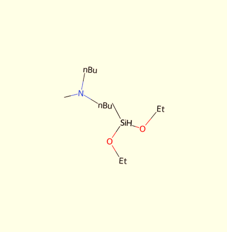 CCCCN(C)CCCC.CCO[SiH](C)OCC